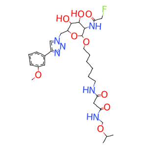 COc1cccc(-c2cn(CC3OC(OCCCCCCNC(=O)CC(=O)NCOC(C)C)C(NC(=O)CF)C(O)C3O)nn2)c1